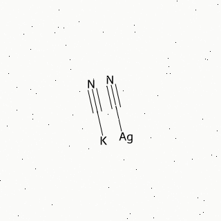 N#[C][Ag].N#[C][K]